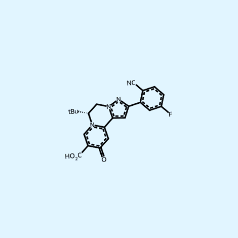 CC(C)(C)[C@@H]1Cn2nc(-c3cc(F)ccc3C#N)cc2-c2cc(=O)c(C(=O)O)cn21